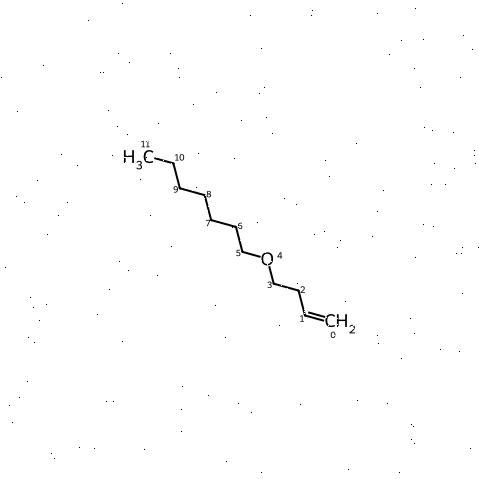 C=CCCOCCCCCCC